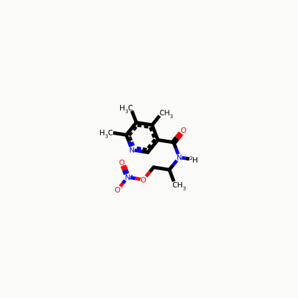 [2H]N(C(=O)c1cnc(C)c(C)c1C)C(C)CO[N+](=O)[O-]